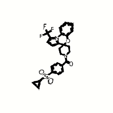 O=C(c1ccc(S(=O)(=O)C2CC2)cc1)N1CCC2(CC1)Oc1ccccc1-n1c(C(F)(F)F)ccc12